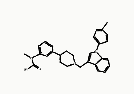 Cc1ccc(-n2cc(CN3CCC(c4cccc(N(C)C(=O)C(C)C)c4)CC3)c3ccccc32)cc1